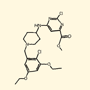 CCOc1cc(CN2CCC(Nc3cc(C(=O)OC)nc(Cl)n3)CC2)c(Cl)c(OCC)c1